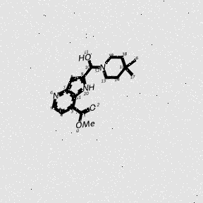 COC(=O)c1ccnc2cc(C(O)N3CCC(C)(C)CC3)[nH]c12